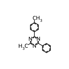 Cc1ccc(-c2nc(C)nc(-c3ccccc3)n2)cc1